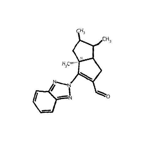 CC1C[C@]2(C)C(n3nc4ccccc4n3)=C(C=O)CC2C1C